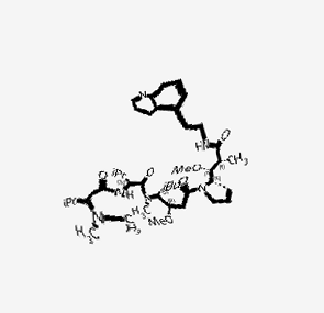 CC[C@H](C)C([C@@H](CC(=O)N1CCC[C@H]1[C@H](OC)[C@@H](C)C(=O)NCCc1cccc2ncccc12)OC)N(C)C(=O)[C@@H](NC(=O)C(C(C)C)N(C)C)C(C)C